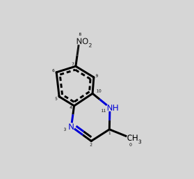 CC1C=Nc2ccc([N+](=O)[O-])cc2N1